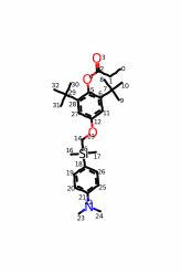 CCC(=O)Oc1c(C(C)(C)C)cc(OC[Si](C)(C)c2ccc(N(C)C)cc2)cc1C(C)(C)C